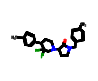 Cc1ccc(CN2CCC(N3CCC(c4ccc(C)cc4)C(F)(F)C3)C2=O)cc1